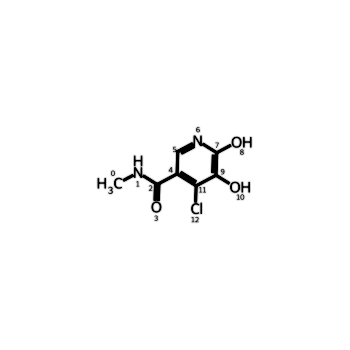 CNC(=O)c1cnc(O)c(O)c1Cl